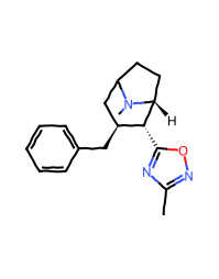 Cc1noc([C@@H]2[C@@H](Cc3ccccc3)CC3CC[C@H]2N3C)n1